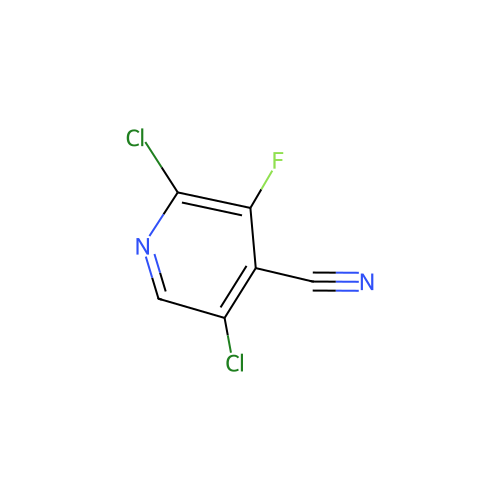 N#Cc1c(Cl)cnc(Cl)c1F